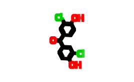 O=C(c1ccc(O)c(Cl)c1)c1ccc(O)c(Cl)c1